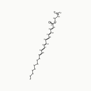 CCCCCCCCC/C=C/C=C/C=C/C=C/C=C/C=C/C(=O)OCCN(C)C